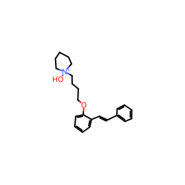 O[N+]1(CCCCOc2ccccc2C=Cc2ccccc2)CCCCC1